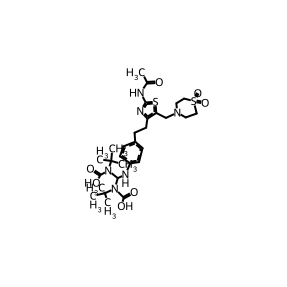 CC(=O)Nc1nc(CCc2ccc(NC(N(C(=O)O)C(C)(C)C)N(C(=O)O)C(C)(C)C)cc2)c(CN2CCS(=O)(=O)CC2)s1